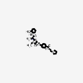 CCN1C(=O)[C@@H](CNc2ccc(C(=O)NCCN3CCCC3)cc2)S/C1=C(/N)C(=O)Nc1ccccc1O